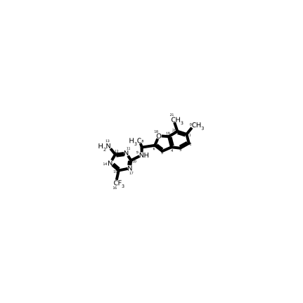 Cc1ccc2cc(C(C)Nc3nc(N)nc(C(F)(F)F)n3)oc2c1C